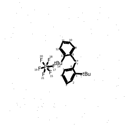 CC(C)(C)c1ccccc1[I+]c1ccccc1C(C)(C)C.F[P-](F)(F)(F)(F)F